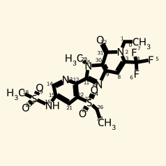 CCn1c(C(F)(F)F)cc2nc(-c3ncc(NS(C)(=O)=O)cc3S(=O)(=O)CC)n(C)c2c1=O